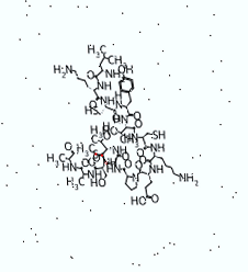 CSCC[C@H](NC(=O)[C@@H]1CCCN1C(=O)[C@H](CCC(=O)O)NC(=O)[C@H](CCCCN)NC(=O)[C@H](CS)NC(=O)[C@@H](NC(=O)[C@H](Cc1ccc(O)cc1)NC(=O)[C@H](CS)NC(=O)[C@H](CCCCN)NC(=O)[C@@H](N)CC(C)C)[C@@H](C)O)C(=O)N[C@H](C(=O)N[C@@H](CO)C(=O)N[C@@H](C)C(=O)N[C@@H](C)[C]=O)[C@@H](C)O